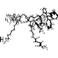 CCCCCCCCCCC(CN(CCCCCOC(c1ccccc1)(c1ccccc1)c1ccccc1)CC(CCCCCCCCCC)O[Si](C)(C)C(C)(C)C)O[Si](C)(C)C(C)(C)C